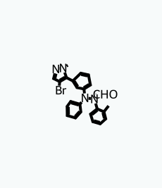 Cc1ccccc1N(C=O)N(c1ccccc1)c1cccc(-c2c(Br)cnn2C)c1